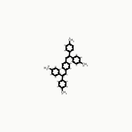 Cc1ccc(C(=Cc2ccc(C=C(c3ccc(C)cc3)c3ccc(C)cc3)cc2)c2ccc(C)cc2)cc1